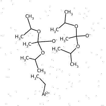 CC(C)OC(C)([O-])OC(C)C.CC(C)OC(C)([O-])OC(C)C.C[CH2][Al+2]